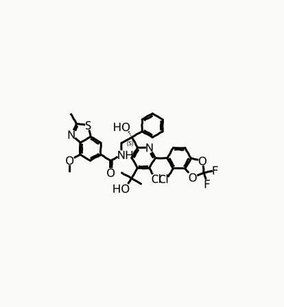 COc1cc(C(=O)NC[C@@](O)(c2ccccc2)c2cc(C(C)(C)O)c(Cl)c(-c3ccc4c(c3Cl)OC(F)(F)O4)n2)cc2sc(C)nc12